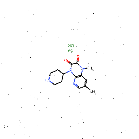 Cc1cnc2c(c1)n(C)c(=O)c(=O)n2C1CCNCC1.Cl.Cl